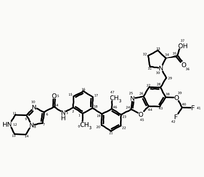 Cc1c(NC(=O)c2cn3c(n2)CNCC3)cccc1-c1cccc(-c2nc3cc(CN4CCC[C@H]4C(=O)O)c(OC(F)F)cc3o2)c1C